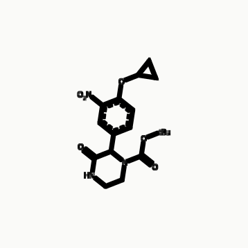 CC(C)(C)OC(=O)N1CCNC(=O)C1c1ccc(OC2CC2)c([N+](=O)[O-])c1